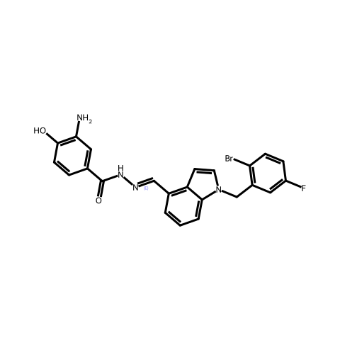 Nc1cc(C(=O)N/N=C/c2cccc3c2ccn3Cc2cc(F)ccc2Br)ccc1O